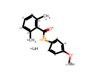 CCCCOc1ccc(PC(=O)c2c(C)cccc2C)cc1.[LiH]